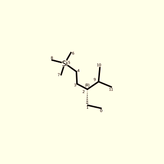 CC[C@H](CC[Si](C)(C)C)C(C)C